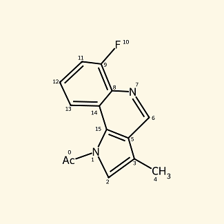 CC(=O)n1cc(C)c2cnc3c(F)cccc3c21